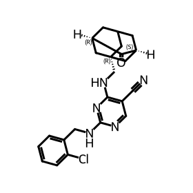 N#Cc1cnc(NCc2ccccc2Cl)nc1NC[C@@]12CC3C[C@H](C1)C(=O)[C@@H](C3)C2